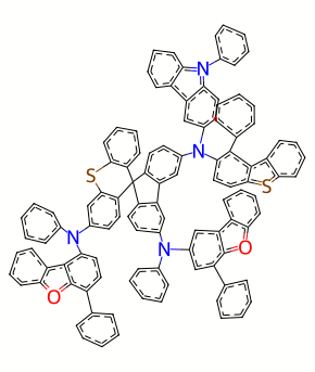 c1ccc(-c2cc(N(c3ccccc3)c3ccc4c(c3)-c3cc(N(c5ccc6c(c5)c5ccccc5n6-c5ccccc5)c5ccc6sc7ccccc7c6c5-c5ccccc5)ccc3C43c4ccccc4Sc4cc(N(c5ccccc5)c5ccc(-c6ccccc6)c6oc7ccccc7c56)ccc43)cc3c2oc2ccccc23)cc1